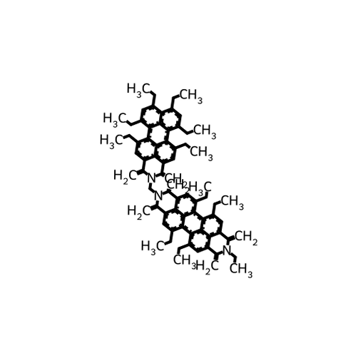 C=C1c2cc(CC)c3c4c(CC)cc(CC)c5c(CC)cc(CC)c(c6c(CC)cc(c2c36)C(=C)N1CN1C(=C)c2cc(CC)c3c6c(CC)cc7c8c(cc(CC)c(c9c(CC)cc(c2c39)C1=C)c86)C(=C)N(CC)C7=C)c54